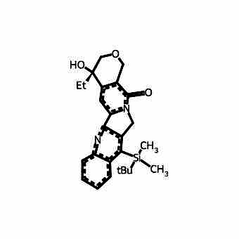 CC[C@@]1(O)COCc2c1cc1n(c2=O)Cc2c-1nc1ccccc1c2[Si](C)(C)C(C)(C)C